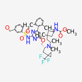 COC(=O)N[C@H]1C[C@](C)(C[C@H](C)N(C)[C@@H](COc2cc(-c3c(C)cccc3C)nc(NS(=O)(=O)c3cccc(C=O)c3)n2)CC2(C(F)(F)F)CC2)C1